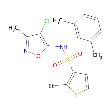 CCc1sccc1S(=O)(=O)Nc1onc(C)c1Cl.Cc1cccc(C)c1